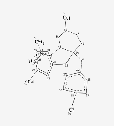 CN(C)CC1CC(O)CCC1(Cc1ccc(Cl)cc1)Cc1cccc(Cl)c1